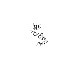 CC(C)OCC1(CN2CCOC3(CC3CC(C)OCC3(CN4CCOCC45CCC5)CC3)C2)CC1